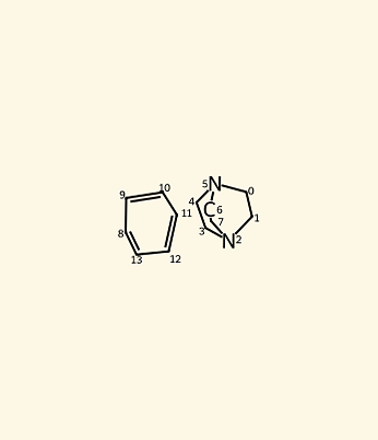 C1CN2CCN1CC2.c1ccccc1